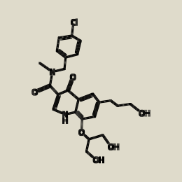 CN(Cc1ccc(Cl)cc1)C(=O)c1c[nH]c2c(OC(CO)CO)cc(CCCO)cc2c1=O